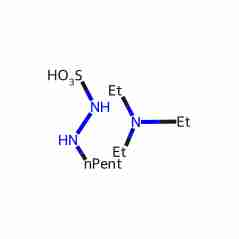 CCCCCNNS(=O)(=O)O.CCN(CC)CC